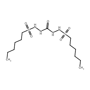 CCCCCCS(=O)(=O)NNC(=O)NNS(=O)(=O)CCCCCC